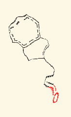 O=CCC1=Cc2ccccc2C1